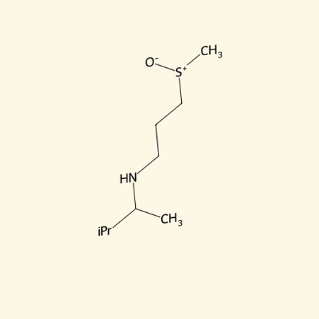 CC(C)C(C)NCCC[S+](C)[O-]